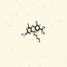 CCCCCNc1nc(N)nc(C)c1Cc1ccc(C(=O)OC)cc1F